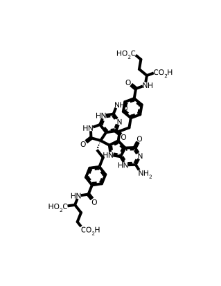 Nc1nc(=O)c2c([nH]1)NC(=O)[C@]2(CCc1ccc(C(=O)NC(CCC(=O)O)C(=O)O)cc1)c1[nH]c2[nH]c(N)nc(=O)c2c1CCc1ccc(C(=O)NC(CCC(=O)O)C(=O)O)cc1